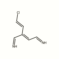 N=C/C=C(C=N)\C=C\Cl